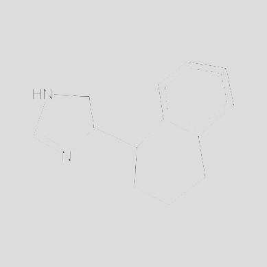 C1=NC(C2CCCc3ccccc32)CN1